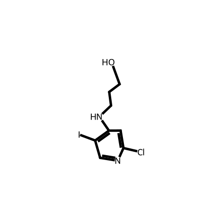 OCCCNc1cc(Cl)ncc1I